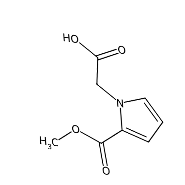 COC(=O)c1cccn1CC(=O)O